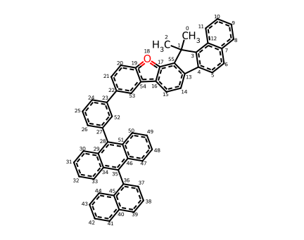 CC1(C)c2c(ccc3ccccc23)-c2ccc3c(oc4ccc(-c5cccc(-c6c7ccccc7c(-c7cccc8ccccc78)c7ccccc67)c5)cc43)c21